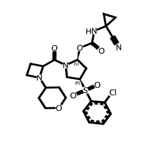 N#CC1(NC(=O)O[C@H]2C[C@@H](S(=O)(=O)c3ccccc3Cl)CN2C(=O)C2CCN2C2CCOCC2)CC1